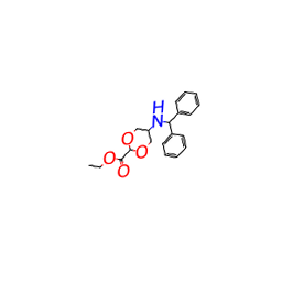 CCOC(=O)C1OCC(NC(c2ccccc2)c2ccccc2)CO1